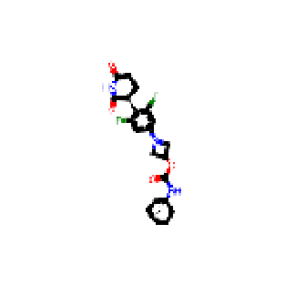 O=C1CC[C@@H](c2c(F)cc(N3CC(OC(=O)NC45CCC(CC4)CC5)C3)cc2F)C(=O)N1